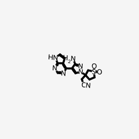 N#CCC1(n2cc(-c3ncnc4[nH]ccc34)c(N)n2)CCS(=O)(=O)C1